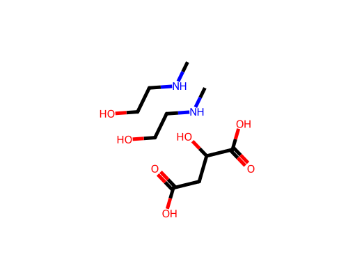 CNCCO.CNCCO.O=C(O)CC(O)C(=O)O